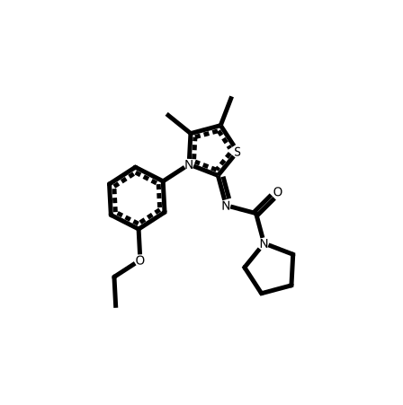 CCOc1cccc(-n2c(C)c(C)sc2=NC(=O)N2CCCC2)c1